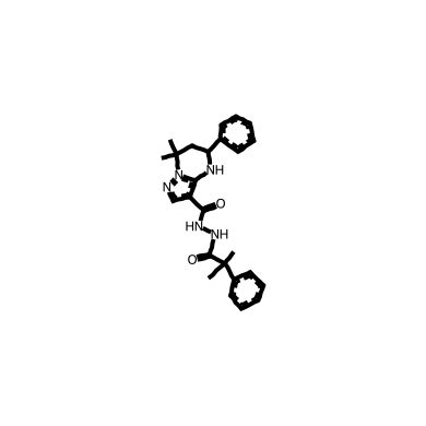 CC(C)(C(=O)NNC(=O)c1cnn2c1NC(c1ccccc1)CC2(C)C)c1ccccc1